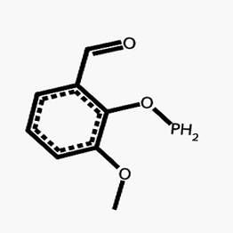 COc1cccc(C=O)c1OP